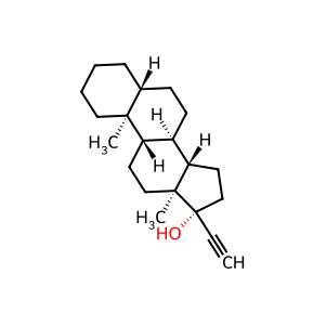 C#C[C@]1(O)CC[C@H]2[C@@H]3CC[C@H]4CCCC[C@]4(C)[C@H]3CC[C@@]21C